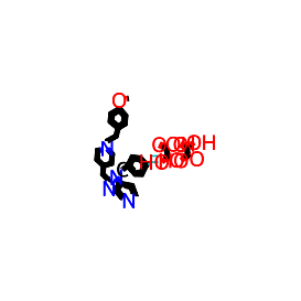 COc1ccc(CCN2CCC(Cc3nc4cnccc4n3Cc3ccc(F)cc3)CC2)cc1.O=C(O)C(=O)O.O=C(O)C(=O)O